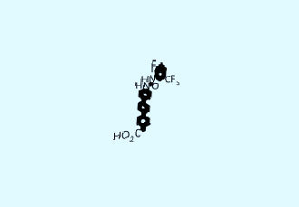 O=C(O)CC1CCC(c2ccc(-c3ccc(NC(=O)Nc4cc(C(F)(F)F)ccc4F)cc3)cc2)CC1